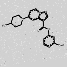 COc1nccc(NC(=O)c2cnn3ccc(N4CCC(C(F)(F)F)CC4)nc23)n1